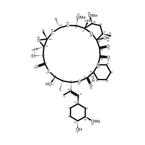 CC[C@H]1C(=O)C[C@H](O)[C@@H](C)[C@@H](/C(C)=C/[C@@H]2CC[C@@H](O)[C@H](OC)C2)OC(=O)[C@@H]2CCCCN2C(=O)C(=O)[C@]2(O)O[C@H]([C@@H](OC)C[C@@H](C)C[C@@]3(C)O[C@H]13)[C@@H](OC)C[C@H]2C